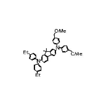 CCc1ccc(N(c2ccc(CC)cc2)c2ccc3c(c2)C(C)(C)c2cc(N(c4ccc(COC)cc4)c4ccc(COC)cc4)ccc2-3)cc1